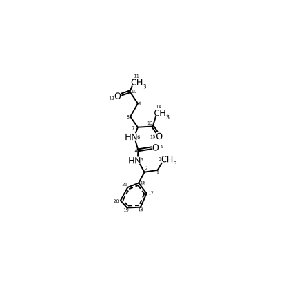 CCC(NC(=O)NC(CCC(C)=O)C(C)=O)c1ccccc1